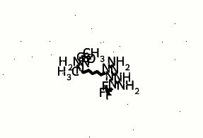 CN(CCCCCc1nc(N)nc(NC(N)=NCC(F)(F)F)n1)C(N)=NS(C)(=O)=O